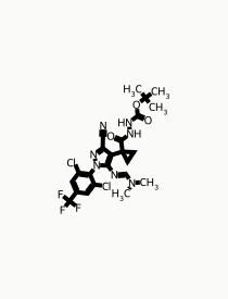 CN(C)C=Nc1c(C2(C(=O)NNC(=O)OC(C)(C)C)CC2)c(C#N)nn1-c1c(Cl)cc(C(F)(F)F)cc1Cl